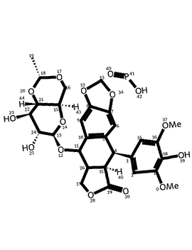 COc1cc([C@@H]2c3cc4c(cc3C(O[C@@H]3O[C@@H]5CO[C@@H](C)O[C@H]5[C@H](O)[C@H]3O)C3COC(=O)[C@@H]32)OCO4)cc(OC)c1O.O=PO